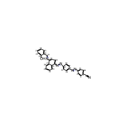 N#Cc1ccc(/N=N/c2ccc(/N=N/c3ccc(/N=C/c4ccccc4O)c4ccccc34)cc2)cc1